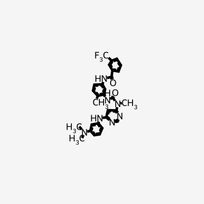 Cc1ccc(NC(=O)c2cccc(C(F)(F)F)c2)cc1NC(=O)N(C)c1cc(Nc2cccc(N(C)C)c2)ncn1